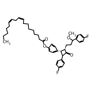 CCCCC/C=C\C/C=C\CCCCCCCC(=O)Oc1ccc([C@H]2C(c3ccc(F)cc3)C(=O)[C@@H]2CCC(OC)c2ccc(F)cc2)cc1